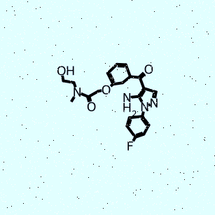 CN(CCO)C(=O)COC1=CC=CC(C(=O)c2cnn(-c3ccc(F)cc3)c2N)C1